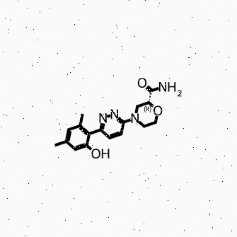 Cc1cc(C)c(-c2ccc(N3CCO[C@@H](C(N)=O)C3)nn2)c(O)c1